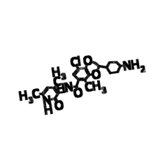 Cc1cc(C)c(CNC(=O)c2cc(Cl)c3c(c2C)OC(C2CCC(N)CC2)CO3)c(=O)[nH]1